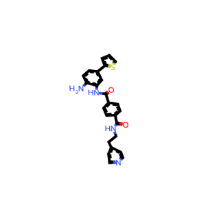 Nc1ccc(-c2cccs2)cc1NC(=O)c1ccc(C(=O)NCCc2ccncc2)cc1